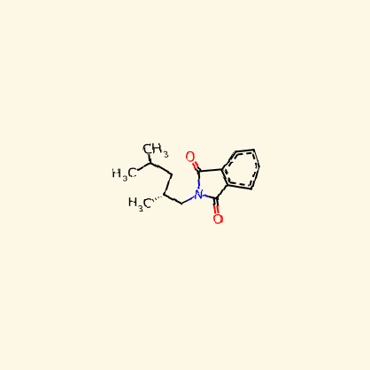 CC(C)C[C@@H](C)CN1C(=O)c2ccccc2C1=O